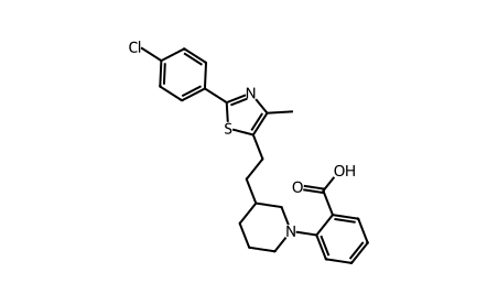 Cc1nc(-c2ccc(Cl)cc2)sc1CCC1CCCN(c2ccccc2C(=O)O)C1